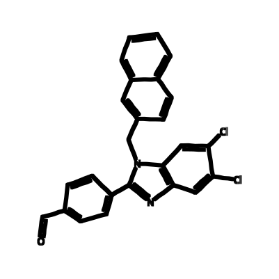 O=Cc1ccc(-c2nc3cc(Cl)c(Cl)cc3n2Cc2ccc3ccccc3c2)cc1